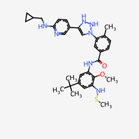 COc1c(NSC)cc(C(C)(C)C)cc1NC(=O)c1ccc(C)c(N2C=C(c3ccc(NCC4CC4)nc3)NN2)c1